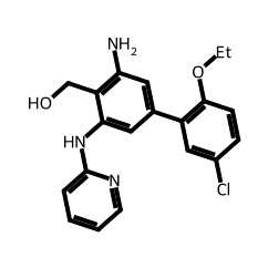 CCOc1ccc(Cl)cc1-c1cc(N)c(CO)c(Nc2ccccn2)c1